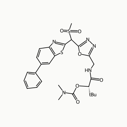 CN(C)C(=O)O[C@H](C(=O)NCc1nnc(C(c2nc3ccc(-c4ccccc4)cc3s2)S(C)(=O)=O)o1)C(C)(C)C